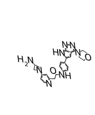 NC1CN(c2ccnc(CC(=O)Nc3ccc(-c4cc5c(N6CCOCC6)ncnc5[nH]4)cc3)c2)C1